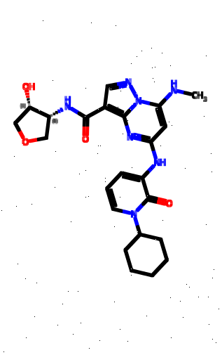 CNc1cc(Nc2cccn(C3CCCCC3)c2=O)nc2c(C(=O)N[C@@H]3COC[C@@H]3O)cnn12